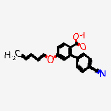 C=CCCCOc1ccc(C(=O)O)c(-c2ccc(C#N)cc2)c1